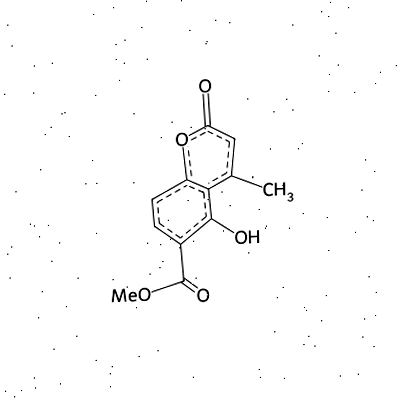 COC(=O)c1ccc2oc(=O)cc(C)c2c1O